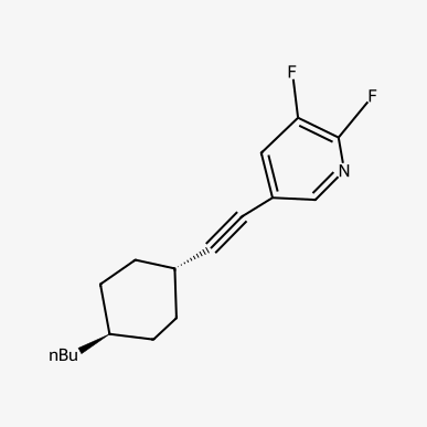 CCCC[C@H]1CC[C@H](C#Cc2cnc(F)c(F)c2)CC1